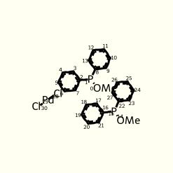 COP(c1ccccc1)c1ccccc1.COP(c1ccccc1)c1ccccc1.[Cl][Pd][Cl]